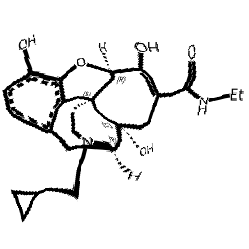 CCNC(=O)C1=C(O)[C@@H]2Oc3c(O)ccc4c3[C@@]23CCN(CC2CC2)[C@H](C4)[C@]3(O)C1